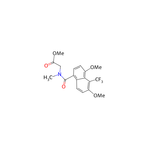 COC(=O)CN(C)C(=O)c1ccc(OC)c2c(C(F)(F)F)c(OC)ccc12